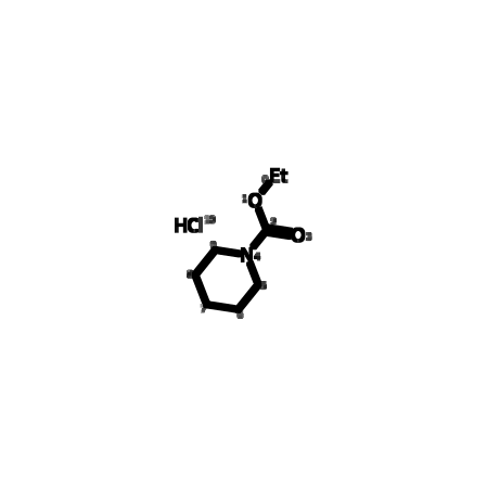 CCOC(=O)N1CCCCC1.Cl